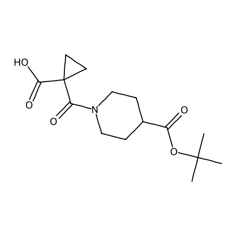 CC(C)(C)OC(=O)C1CCN(C(=O)C2(C(=O)O)CC2)CC1